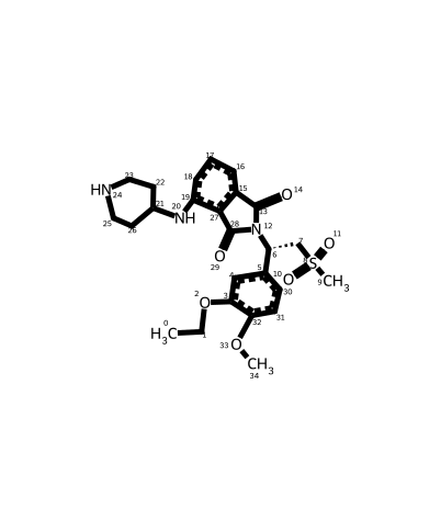 CCOc1cc([C@@H](CS(C)(=O)=O)N2C(=O)c3cccc(NC4CCNCC4)c3C2=O)ccc1OC